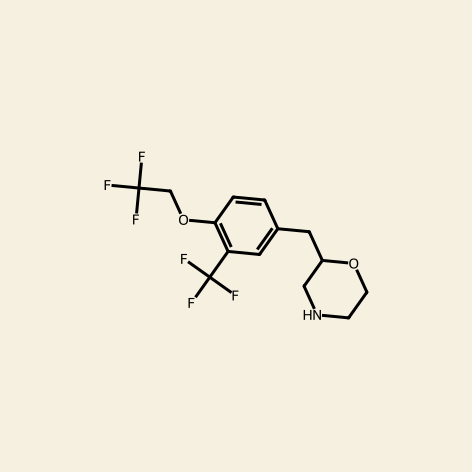 FC(F)(F)COc1ccc(CC2CNCCO2)cc1C(F)(F)F